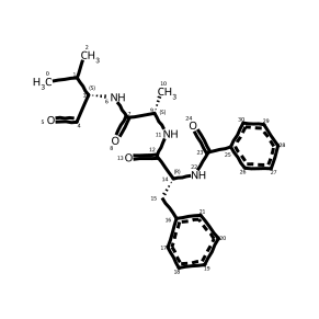 CC(C)[C@@H](C=O)NC(=O)[C@H](C)NC(=O)[C@@H](Cc1ccccc1)NC(=O)c1ccccc1